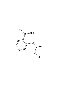 CCOC(C)Oc1ccccc1B(O)O